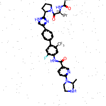 COC(=O)N[C@H](C(=O)N1CCCC1c1nc(-c2ccc(-c3cc(F)c(NC(=O)c4ccc(N5CCNCC5C)nc4)cc3C(F)(F)F)cc2)c[nH]1)C(C)C